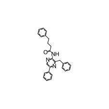 O=C(CCCc1ccccc1)Nc1ncc(-c2ccccc2)nc1Cc1ccccc1